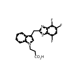 O=C(O)CCn1cc(Cc2nc3c(F)c(F)cc(F)c3s2)c2ccccc21